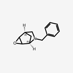 c1ccc(CN2C[C@H]3C[C@@H]2C2OC23)cc1